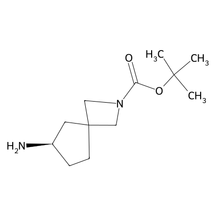 CC(C)(C)OC(=O)N1CC2(CC[C@@H](N)C2)C1